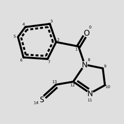 O=C(c1ccccc1)N1CCN=C1C=S